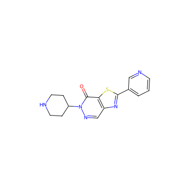 O=c1c2sc(-c3cccnc3)nc2cnn1C1CCNCC1